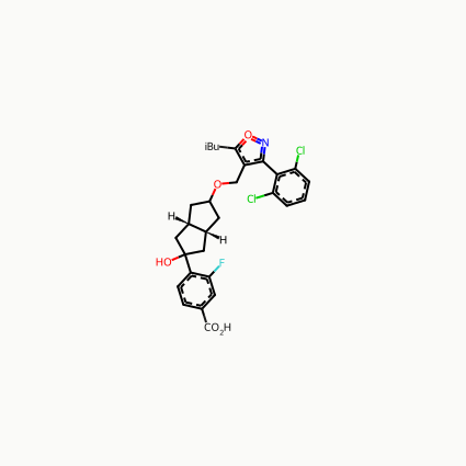 CCC(C)c1onc(-c2c(Cl)cccc2Cl)c1COC1C[C@@H]2CC(O)(c3ccc(C(=O)O)cc3F)C[C@@H]2C1